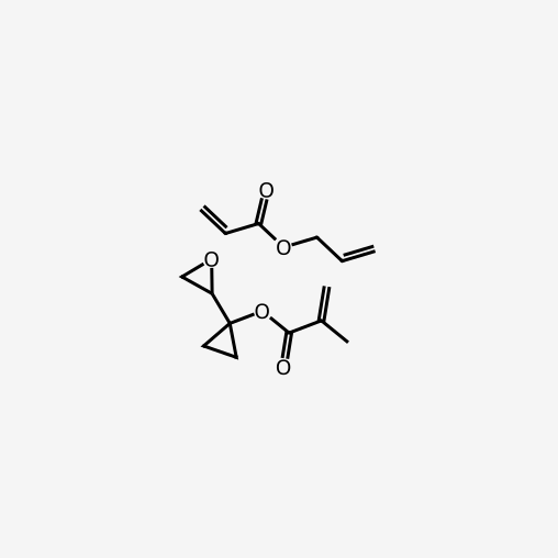 C=C(C)C(=O)OC1(C2CO2)CC1.C=CCOC(=O)C=C